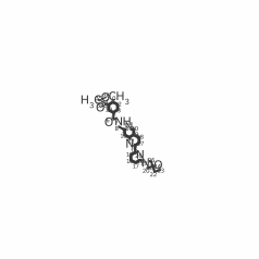 Cc1ccc(C(=O)NCc2cc3nc(-c4cccc(N5CC6(CCO6)C5)n4)ccc3cn2)cc1S(C)(=O)=O